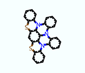 c1ccc2c(c1)sc1cc3sc4ccccc4n4c5ccccc5n5c6ccccc6n2c1c5c34